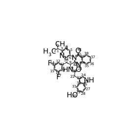 CC(C)c1ccc(-n2c([C@H](Cc3cc(F)cc(F)c3)NC(=O)Cc3c[nH]c4ccc(O)cc34)nc3ccccc3c2=O)cn1